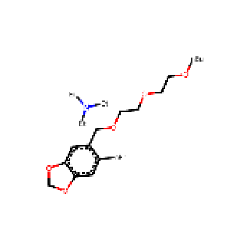 CCCCOCCOCCOCc1cc2c(cc1CCC)OCO2.CCN(CC)CC